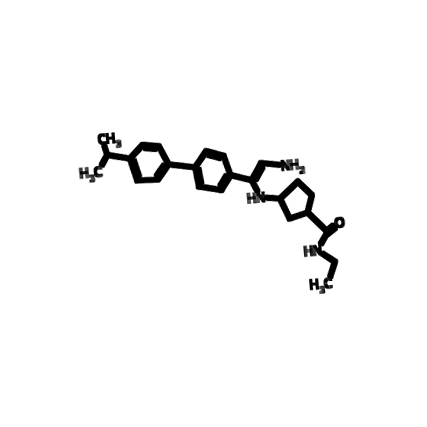 CCNC(=O)C1CCC(N/C(=C\N)c2ccc(-c3ccc(C(C)C)cc3)cc2)C1